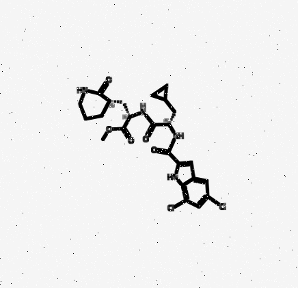 COC(=O)[C@H](C[C@@H]1CCCNC1=O)NC(=O)[C@H](CC1CC1)NC(=O)c1cc2cc(Cl)cc(Cl)c2[nH]1